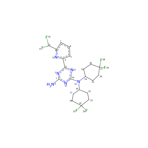 Nc1nc(-c2cccc(C(F)F)n2)nc(N(C2CCC(F)(F)CC2)C2CCC(F)(F)CC2)n1